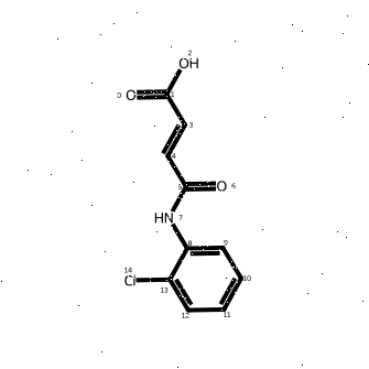 O=C(O)C=CC(=O)Nc1ccccc1Cl